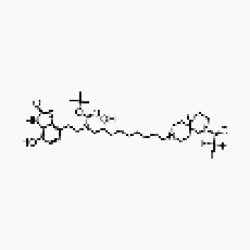 CC(C)(C)OC(=O)N(CCc1ccc(O)c2[nH]c(=O)sc12)C[C@H](O)CCCCCCCN1CCC2(CC1)CN(C(=O)C(F)(F)F)CCO2